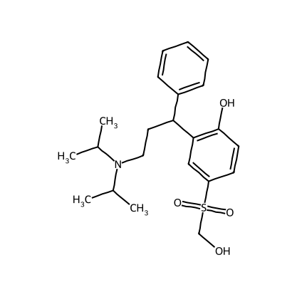 CC(C)N(CCC(c1ccccc1)c1cc(S(=O)(=O)CO)ccc1O)C(C)C